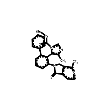 Cc1ncn(C(=O)OC(C)(C)C)c1-c1c(-c2ccccc2)cccc1N1Cc2c(cccc2C(F)(F)F)C1=O